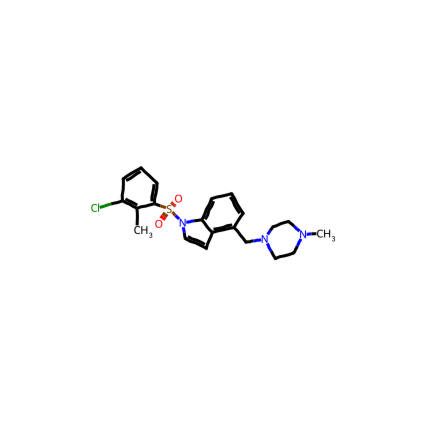 Cc1c(Cl)cccc1S(=O)(=O)n1ccc2c(CN3CCN(C)CC3)cccc21